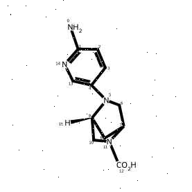 Nc1ccc(N2CC3C[C@@H]2CN3C(=O)O)cn1